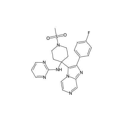 CS(=O)(=O)N1CCC(Nc2ncccn2)(c2c(-c3ccc(F)cc3)nc3cnccn23)CC1